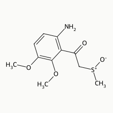 COc1ccc(N)c(C(=O)C[S+](C)[O-])c1OC